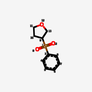 O=S(=O)(c1ccccc1)C1CCOC1